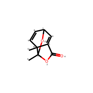 CC12OC(=O)C3=CC(C=CC31C)O2